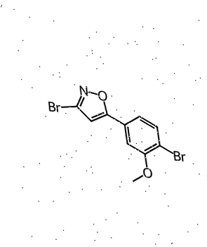 COc1cc(-c2cc(Br)no2)ccc1Br